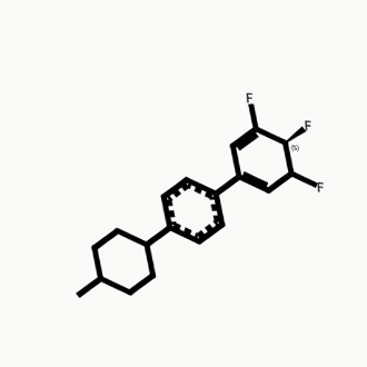 CC1CCC(c2ccc(C3=CC(F)[C@H](F)C(F)=C3)cc2)CC1